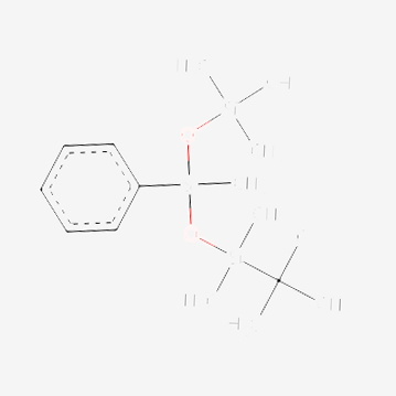 CC(C)(C)[Si](C)(C)O[Si](C)(O[Si](C)(C)C)c1ccccc1